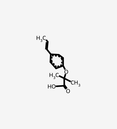 C/C=C/c1ccc(OC(C)(C)C(=O)O)cc1